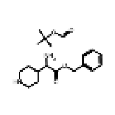 CC(C)(C)OC=O.NC(C(=O)OCc1ccccc1)C1CCNCC1